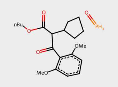 CCCCOC(=O)C(C(=O)c1c(OC)cccc1OC)C1CCCC1.O=[PH3]